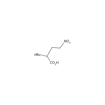 CCCCC(CC[N+](=O)[O-])C(=O)O